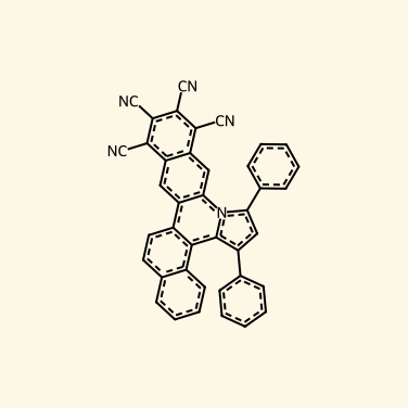 N#Cc1c(C#N)c(C#N)c2cc3c(cc2c1C#N)c1ccc2ccccc2c1c1c(-c2ccccc2)cc(-c2ccccc2)n31